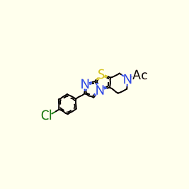 CC(=O)N1CCc2c(sc3nc(-c4ccc(Cl)cc4)cn23)C1